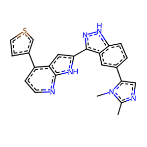 Cc1ncc(-c2ccc3[nH]nc(-c4cc5c(-c6ccsc6)ccnc5[nH]4)c3c2)n1C